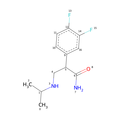 CC(C)NCC(C(N)=O)c1ccc(F)c(F)c1